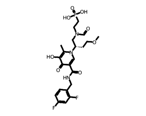 COCC[C@@H](CN(C=O)CCP(=O)(O)O)n1cc(C(=O)NCc2ccc(F)cc2F)c(=O)c(O)c1C